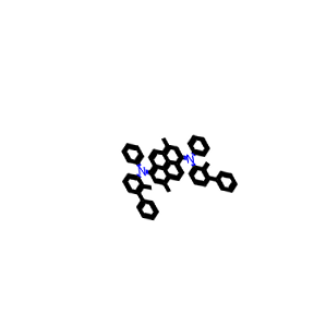 Cc1c(-c2ccccc2)cccc1N(c1ccccc1)c1cc(C)c2ccc3c(N(c4ccccc4)c4cccc(-c5ccccc5)c4C)cc(C)c4ccc1c2c43